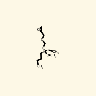 CCCC[Si](OC)(OC)OCOCC1CO1